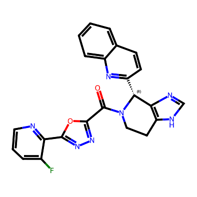 O=C(c1nnc(-c2ncccc2F)o1)N1CCc2[nH]cnc2[C@H]1c1ccc2ccccc2n1